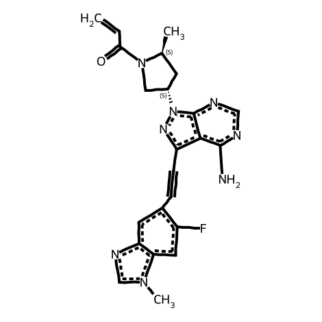 C=CC(=O)N1C[C@@H](n2nc(C#Cc3cc4ncn(C)c4cc3F)c3c(N)ncnc32)C[C@@H]1C